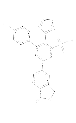 Cc1ccc(-c2cc(-c3ccc4c(c3)CNC4=O)cc(S(C)(=O)=O)c2-c2nn[nH]n2)cc1